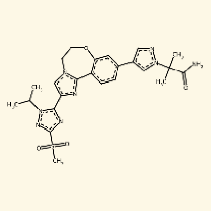 CC(C)n1nc(S(C)(=O)=O)nc1-c1cn2c(n1)-c1ccc(-c3cnn(C(C)(C)C(N)=O)c3)cc1OCC2